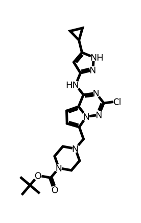 CC(C)(C)OC(=O)N1CCN(Cc2ccc3c(Nc4cc(C5CC5)[nH]n4)nc(Cl)nn23)CC1